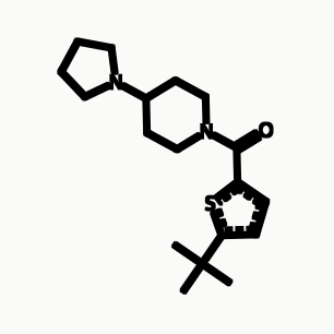 CC(C)(C)c1ccc(C(=O)N2CCC(N3CCCC3)CC2)s1